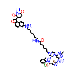 Cc1nc(Nc2ncc(C(=O)Nc3c(C)cccc3Cl)s2)cc(N2CCN(CCCCCC(=O)NCCCCCCNc3ccc4c(ccc5occ(C6CCC(=O)NC6=O)c54)c3)CC2)n1